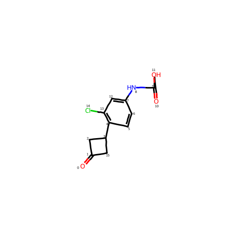 O=C1CC(c2ccc(NC(=O)O)cc2Cl)C1